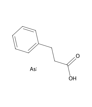 O=C(O)CCc1ccccc1.[As]